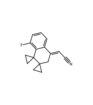 N#CC=C1CC2(CC2)C2(CC2)c2c(F)cccc21